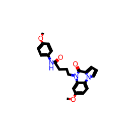 COc1ccc(NC(=O)CCCn2c(=O)c3cccn3c3ccc(OC)cc32)cc1